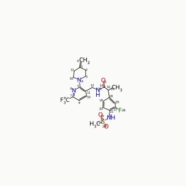 C=C1CCN(c2nc(C(F)(F)F)ccc2CNC(=O)C(C)c2ccc(NS(C)(=O)=O)c(F)c2)CC1